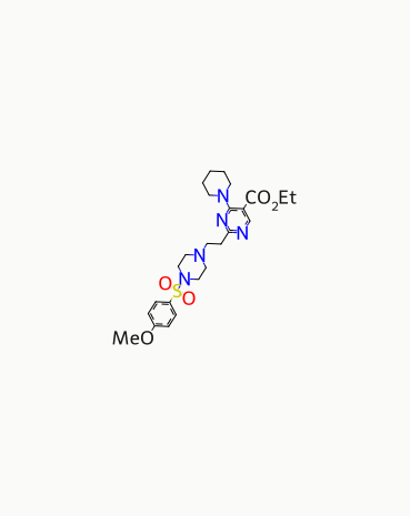 CCOC(=O)c1cnc(CCN2CCN(S(=O)(=O)c3ccc(OC)cc3)CC2)nc1N1CCCCC1